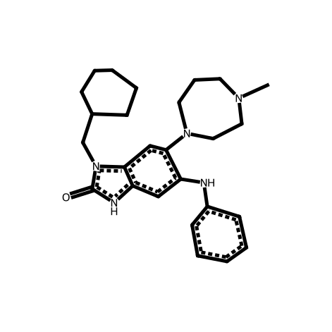 CN1CCCN(c2cc3c(cc2Nc2ccccc2)[nH]c(=O)n3CC2CCCCC2)CC1